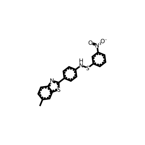 Cc1ccc2nc(-c3ccc(NSc4cccc([N+](=O)[O-])c4)cc3)sc2c1